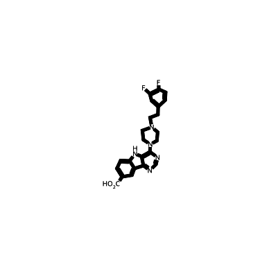 O=C(O)c1ccc2[nH]c3c(N4CCN(CCc5ccc(F)c(F)c5)CC4)ncnc3c2c1